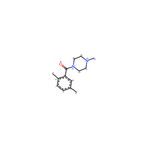 Cc1ccc(C)c(C(=O)N2CCN(C)CC2)c1